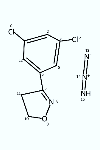 Clc1cc(Cl)cc(C2=NOCC2)c1.[N-]=[N+]=N